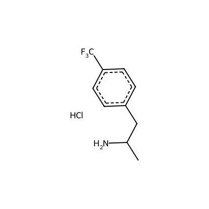 CC(N)Cc1ccc(C(F)(F)F)cc1.Cl